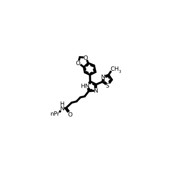 CCCNC(=O)CCCCc1nc(-c2nc(C)cs2)c(-c2ccc3c(c2)OCO3)[nH]1